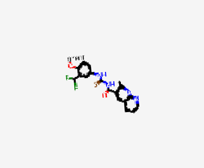 CCCCCOc1ccc(NC(=S)NC(=O)c2cc3cccnc3nc2C)cc1C(F)F